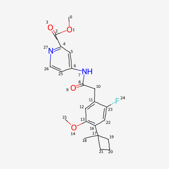 COC(=O)c1cc(NC(=O)Cc2cc(OC)c(C3(C)CCC3)cc2F)ccn1